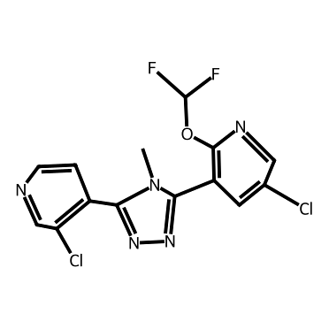 Cn1c(-c2ccncc2Cl)nnc1-c1cc(Cl)cnc1OC(F)F